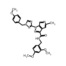 COc1ccc(Cn2cnc(-n3nc(C(=O)NCc4ccc(OC)cc4OC)c4cc(C)ncc43)n2)cc1